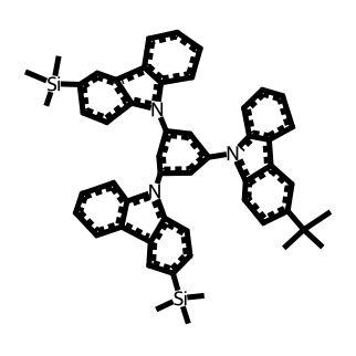 CC(C)(C)c1ccc2c(c1)c1ccccc1n2-c1cc(-n2c3ccccc3c3cc([Si](C)(C)C)ccc32)cc(-n2c3ccccc3c3cc([Si](C)(C)C)ccc32)c1